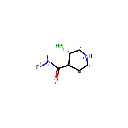 Br.CC(C)NC(=O)C1CCNCC1